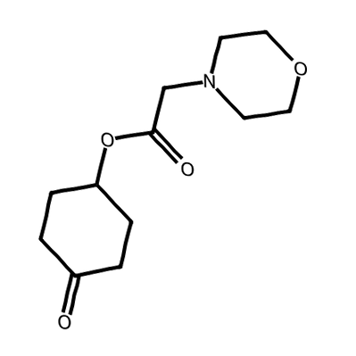 O=C1CCC(OC(=O)CN2CCOCC2)CC1